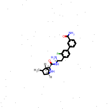 CC1C[C@H]2C[C@H]1[C@@H](C(=O)N[C@H](N)Cc1ccc(-c3cccc(C(N)=O)c3)cc1F)N2